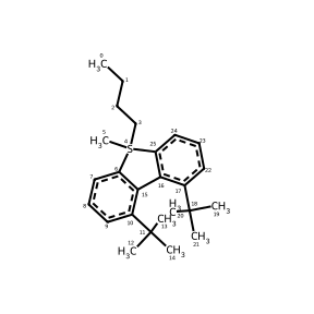 CCCCS1(C)c2cccc(C(C)(C)C)c2-c2c(C(C)(C)C)cccc21